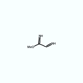 COC(=N)C=N